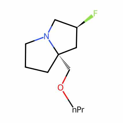 CCCOC[C@]12CCCN1C[C@@H](F)C2